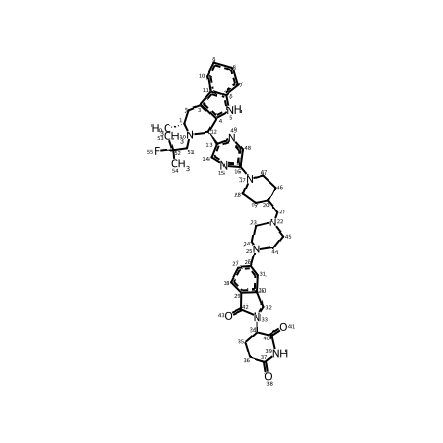 C[C@@H]1Cc2c([nH]c3ccccc23)[C@@H](c2cnc(N3CCC(CN4CCN(c5ccc6c(c5)CN(C5CCC(=O)NC5=O)C6=O)CC4)CC3)cn2)N1CC(C)(C)F